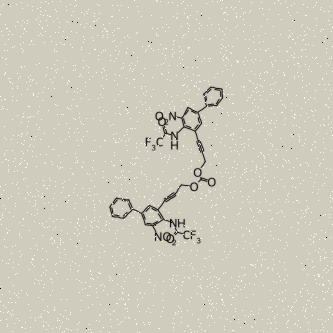 O=C(OCC#Cc1cc(-c2ccccc2)cc([N+](=O)[O-])c1NC(=O)C(F)(F)F)OCC#Cc1cc(-c2ccccc2)cc([N+](=O)[O-])c1NC(=O)C(F)(F)F